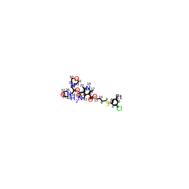 CCc1cc(Cl)cc(SCCCCOC(=O)C2=C(C)N(C)C(C)=C(C(=O)OC(CN3CCOCC3)CN3CCOCC3)C2CN)c1